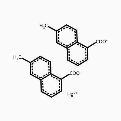 Cc1ccc2c(C(=O)[O-])cccc2c1.Cc1ccc2c(C(=O)[O-])cccc2c1.[Hg+2]